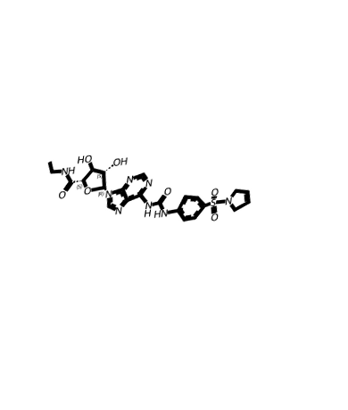 CCNC(=O)[C@H]1O[C@@H](n2cnc3c(NC(=O)Nc4ccc(S(=O)(=O)N5CC=CC5)cc4)ncnc32)[C@@H](O)C1O